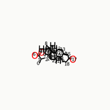 CC1C[C@]2(OC1=O)[C@H]1C[C@H]1[C@H]1[C@@H]3C=CC4=CC(=O)CC[C@]4(C)[C@H]3CC[C@@]12C